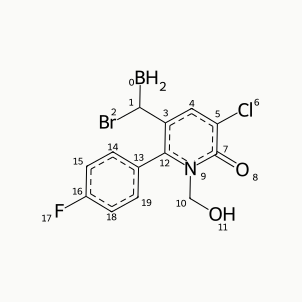 BC(Br)c1cc(Cl)c(=O)n(CO)c1-c1ccc(F)cc1